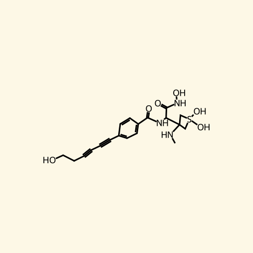 CNC1(C(NC(=O)c2ccc(C#CC#CCCO)cc2)C(=O)NO)CS(O)(O)C1